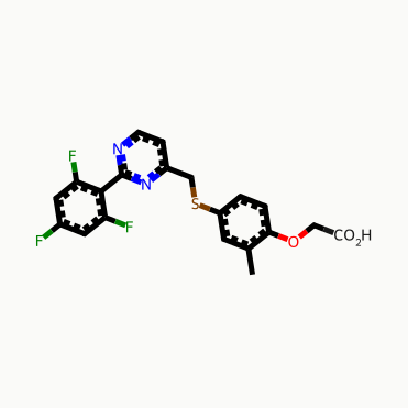 Cc1cc(SCc2ccnc(-c3c(F)cc(F)cc3F)n2)ccc1OCC(=O)O